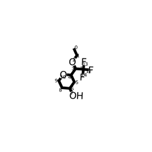 CCOC(C1CC(O)CCO1)C(F)(F)F